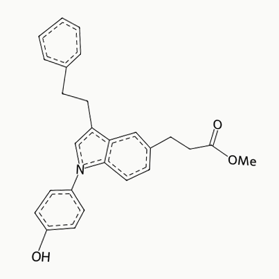 COC(=O)CCc1ccc2c(c1)c(CCc1ccccc1)cn2-c1ccc(O)cc1